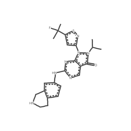 CC(C)n1c(=O)c2cnc(Nc3ccc4c(c3)CNCC4)nc2n1-c1cc(C(C)(C)F)sn1